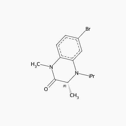 CC(C)N1c2cc(Br)ccc2N(C)C(=O)[C@H]1C